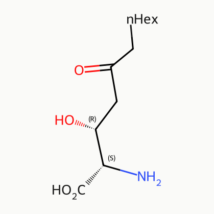 CCCCCCCC(=O)C[C@@H](O)[C@H](N)C(=O)O